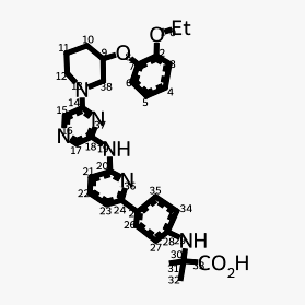 CCOc1ccccc1OC1CCCN(c2cncc(Nc3cccc(-c4ccc(NC(C)(C)C(=O)O)cc4)n3)n2)C1